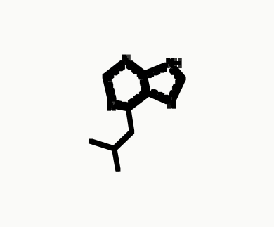 CC(C)Cc1ncnc2[nH]cnc12